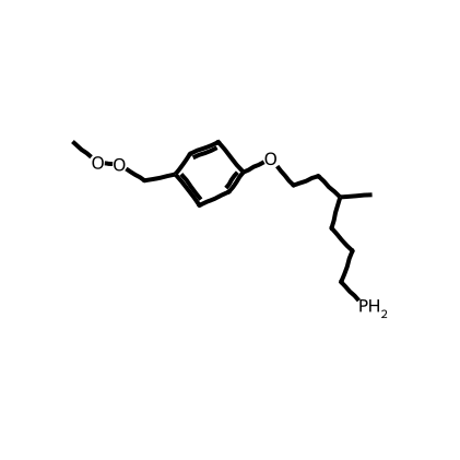 COOCc1ccc(OCCC(C)CCCP)cc1